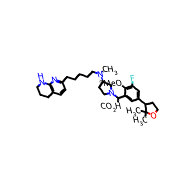 COc1c(F)cc(C2CCOC2(C)C)cc1C(C(=O)O)N1CC[C@@H](N(C)CCCCCc2ccc3c(n2)NCCC3)C1